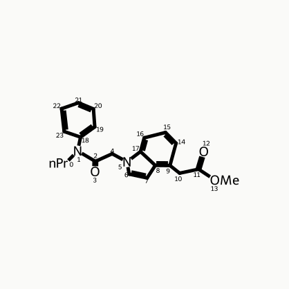 CCCN(C(=O)Cn1ccc2c(CC(=O)OC)cccc21)c1ccccc1